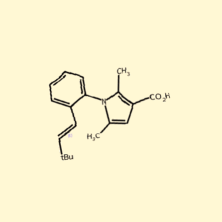 Cc1cc(C(=O)O)c(C)n1-c1ccccc1/C=C/C(C)(C)C